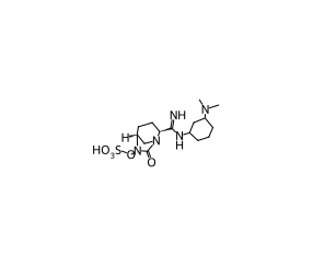 CN(C)C1CCCC(NC(=N)[C@@H]2CC[C@@H]3CN2C(=O)N3OS(=O)(=O)O)C1